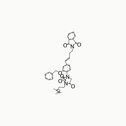 C[Si](C)(C)CCN1C(=O)CN(c2ccc(C=CCCN3C(=O)c4ccccc4C3=O)cc2OCc2ccccc2)S1(=O)=O